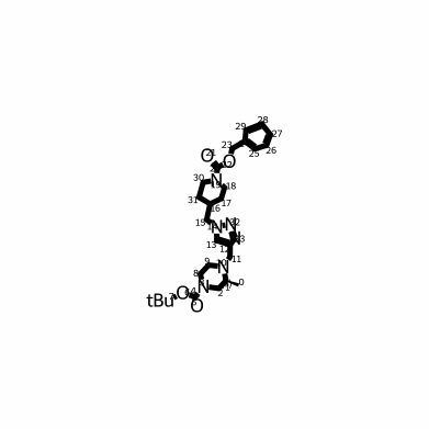 C[C@H]1CN(C(=O)OC(C)(C)C)CCN1Cc1cn(CC2CCN(C(=O)OCc3ccccc3)CC2)nn1